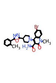 Cc1ccccc1-c1nnc(C2CCN(c3c(C(N)=O)c(=O)n(C)c4ccc(Br)cc34)CC2)o1